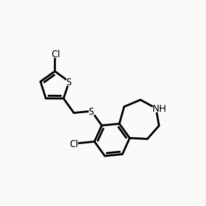 Clc1ccc(CSc2c(Cl)ccc3c2CCNCC3)s1